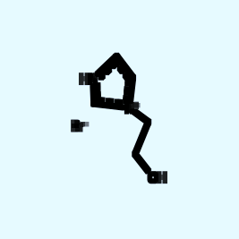 OCC[n+]1cc[nH]c1.[Br-]